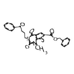 Cn1c(=O)n(CCCC(=O)c2ccccc2)c(=O)c2cc(C(=O)OCc3ccccc3)sc21